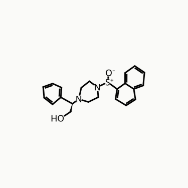 [O-][S+](c1cccc2ccccc12)N1CCN([C@@H](CO)c2ccccc2)CC1